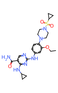 CCOc1cc(Nc2ncc(C(N)=O)c(NC3CC3)n2)ccc1N1CCN(S(=O)(=O)C2CC2)CC1